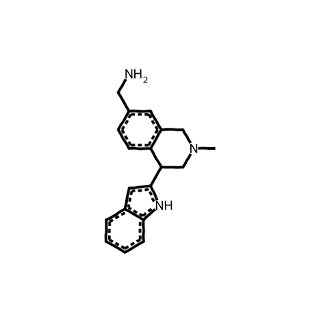 CN1Cc2cc(CN)ccc2C(c2cc3ccccc3[nH]2)C1